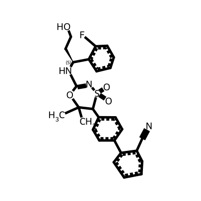 CC1(C)OC(N[C@@H](CCO)c2ccccc2F)=NS(=O)(=O)C1c1ccc(-c2ccccc2C#N)cc1